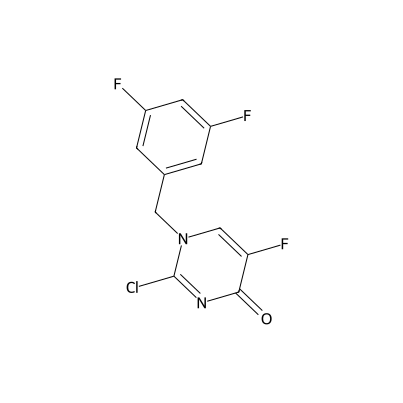 O=c1nc(Cl)n(Cc2cc(F)cc(F)c2)cc1F